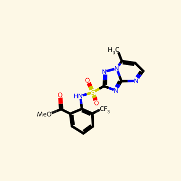 COC(=O)c1cccc(C(F)(F)F)c1NS(=O)(=O)c1nc2nccc(C)n2n1